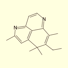 CCC1=C(C)c2nccc3nc(C)cc(c23)C1(C)C